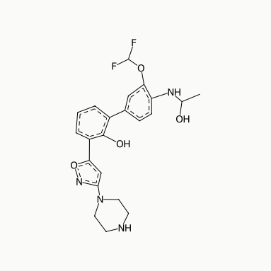 CC(O)Nc1ccc(-c2cccc(-c3cc(N4CCNCC4)no3)c2O)cc1OC(F)F